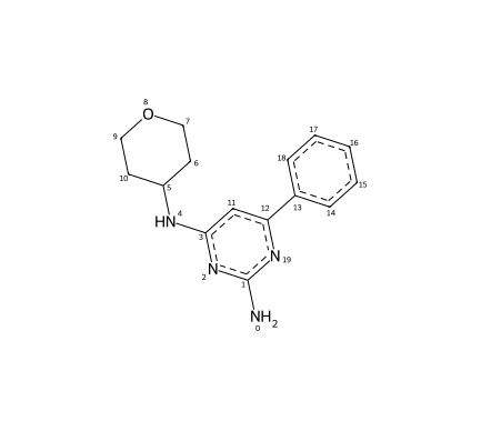 Nc1nc(NC2CCOCC2)cc(-c2ccccc2)n1